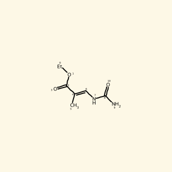 CCOC(=O)C(C)=CNC(N)=O